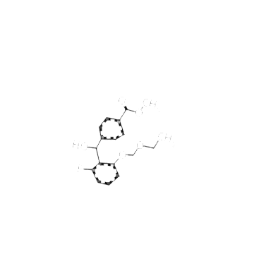 CCOCOc1cccc(F)c1C(O)c1ccc(C(=O)OC)cc1